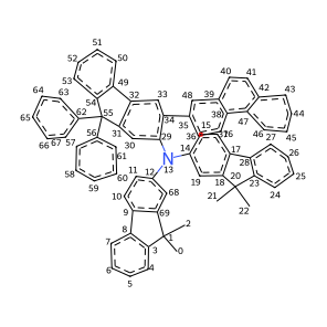 CC1(C)c2ccccc2-c2ccc(N(c3ccc4c(c3)C(C)(C)c3ccccc3-4)c3cc4c(cc3-c3ccc5c(ccc6ccccc65)c3)-c3ccccc3C4(c3ccccc3)c3ccccc3)cc21